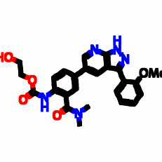 COc1ccccc1-c1n[nH]c2ncc(-c3ccc(NC(=O)OCCO)c(C(=O)N(C)C)c3)cc12